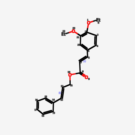 CCOc1ccc(/C=C/C(=O)OC/C=C/c2ccccc2)cc1OCC